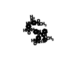 COC(=O)c1ccc(Nc2ccc3[nH]c(=O)[nH]c3c2)c(N)c1.Cn1cncc1-c1cc(-c2nc3ccccc3n2-c2ccc3[nH]c(=O)[nH]c3c2)c2ccccc2n1